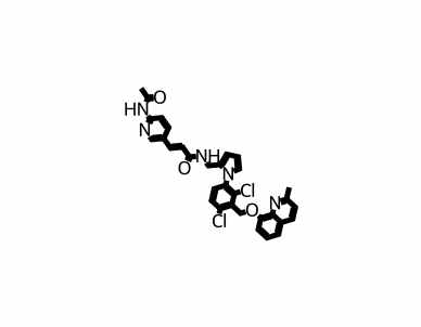 CC(=O)Nc1ccc(C=CC(=O)NCc2cccn2-c2ccc(Cl)c(COc3cccc4ccc(C)nc34)c2Cl)cn1